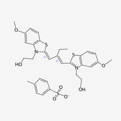 CCC(/C=C1\Sc2ccc(OC)cc2N1CCO)=C\c1sc2ccc(OC)cc2[n+]1CCO.Cc1ccc(S(=O)(=O)[O-])cc1